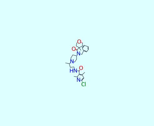 Cc1cc(Cl)nc(C)c1C(=O)NCCC(C)N1CCC(N(Cc2ccccc2)C(=O)C2(C)CCOCC2)CC1